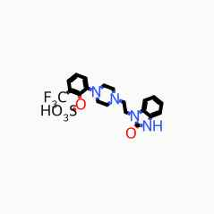 O=c1[nH]c2ccccc2n1CCN1CCN(c2cccc(C(F)(F)F)c2OS(=O)(=O)O)CC1